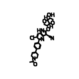 CC(=O)N1CC=C(c2ccc(-c3nc4c(C#N)c(O[C@@H]5CO[C@H]6[C@@H]5OC[C@H]6O)[nH]c4cc3Cl)cc2)CC1